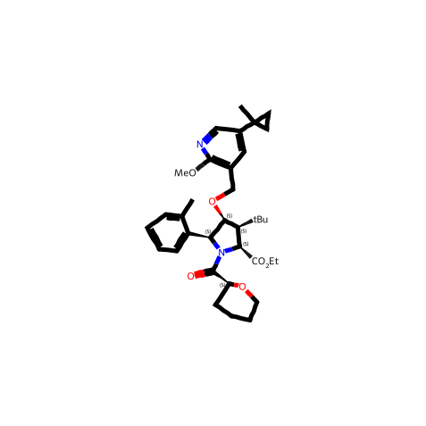 CCOC(=O)[C@@H]1[C@H](C(C)(C)C)[C@H](OCc2cc(C3(C)CC3)cnc2OC)[C@H](c2ccccc2C)N1C(=O)[C@@H]1CCCCO1